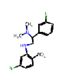 CN(C)C(CNc1cc(Br)ccc1[N+](=O)[O-])c1cccc(F)c1